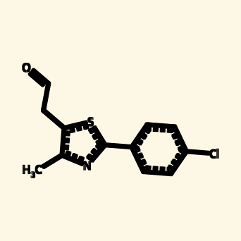 Cc1nc(-c2ccc(Cl)cc2)sc1CC=O